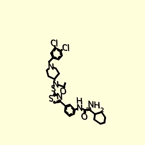 CC(=O)N(Sc1nc(-c2cccc(NC(=O)[C@@H](N)C3CCCCC3)c2)cs1)C1CCN(Cc2ccc(Cl)c(Cl)c2)CC1